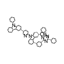 CC1C=c2c(n(-c3ccc(-c4ccc5c(c4)c4ccccc4n5-c4ccccc4)cn3)c3cccc(-c4cccc(-c5nc(-c6ccccc6)nc(-c6ccccc6)n5)c4)c23)=CC1